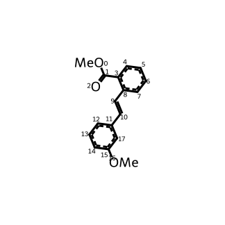 COC(=O)c1ccccc1C=Cc1cccc(OC)c1